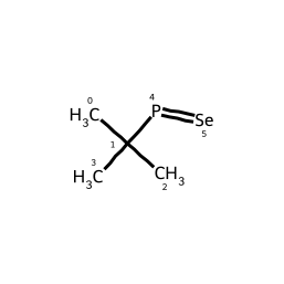 CC(C)(C)P=[Se]